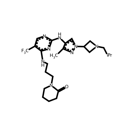 Cc1nn(C2CN(CC(C)C)C2)cc1Nc1ncc(C(F)(F)F)c(NCCCN2CCCCC2=O)n1